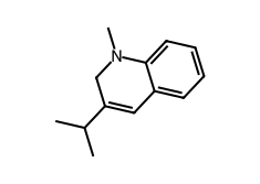 CC(C)C1=Cc2ccccc2N(C)C1